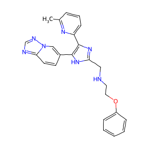 Cc1cccc(-c2nc(CNCCOc3ccccc3)[nH]c2-c2ccc3ncnn3c2)n1